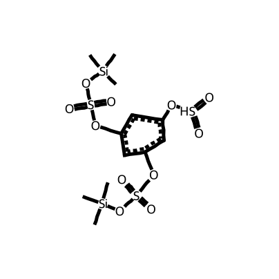 C[Si](C)(C)OS(=O)(=O)Oc1cc(O[SH](=O)=O)cc(OS(=O)(=O)O[Si](C)(C)C)c1